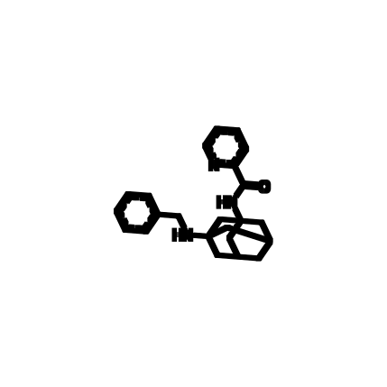 O=C(NC12CC3CC(CC(NCc4ccccc4)(C3)C1)C2)c1ccccn1